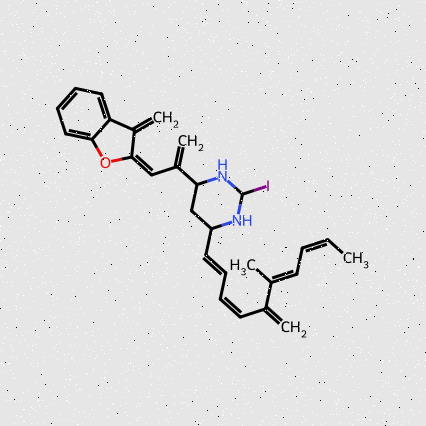 C=C(/C=C\C=C\C1CC(C(=C)/C=c2/oc3ccccc3c2=C)NC(I)N1)/C(C)=C/C=C\C